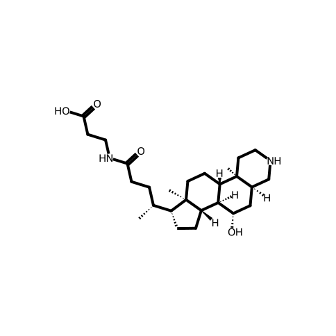 C[C@H](CCC(=O)NCCC(=O)O)[C@H]1CC[C@H]2[C@@H]3[C@@H](O)C[C@@H]4CNCC[C@]4(C)[C@H]3CC[C@]12C